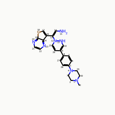 CN1CCN(c2ccc(C3=CNN(/C(=C\N)c4csc5nccnc45)C=C3)cc2)CC1